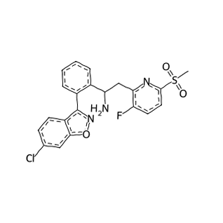 CS(=O)(=O)c1ccc(F)c(CC(N)c2ccccc2-c2noc3cc(Cl)ccc23)n1